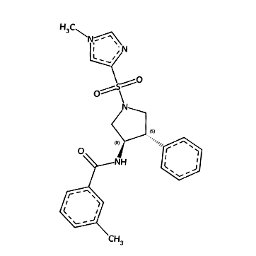 Cc1cccc(C(=O)N[C@H]2CN(S(=O)(=O)c3cn(C)cn3)C[C@@H]2c2ccccc2)c1